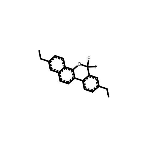 CCc1ccc2c(c1)C(F)(F)Oc1c-2ccc2cc(CC)ccc12